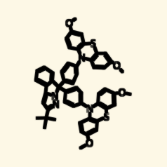 COc1ccc2c(c1)Sc1cc(OC)ccc1N2c1ccc(C2(c3ccc(N4c5ccc(OC)cc5Sc5cc(OC)ccc54)cc3)c3ccccc3-c3cc(C(C)(C)C)nn32)cc1